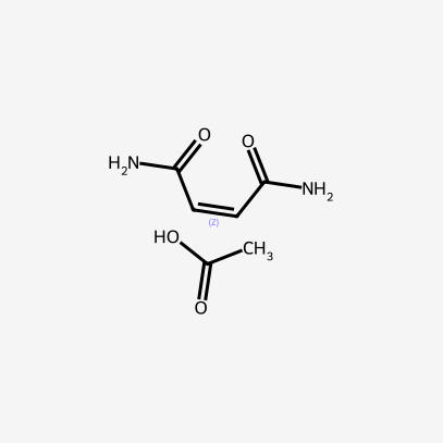 CC(=O)O.NC(=O)/C=C\C(N)=O